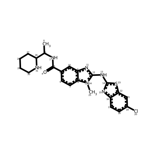 CC(NC(=O)c1ccc2c(c1)nc(Nc1nc3ccc(Cl)cc3s1)n2C)C1CCCCN1